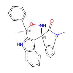 CN1C(=O)[C@]2(NO[C@](C)(c3ccccc3)c3[nH]c4ccccc4c32)c2ccccc21